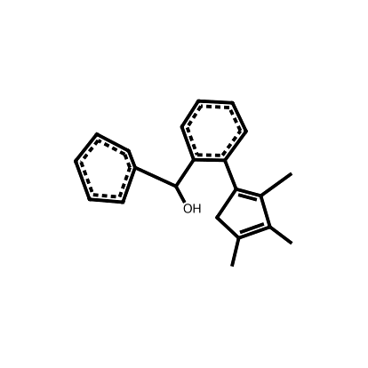 CC1=C(C)C(C)=C(c2ccccc2C(O)c2ccccc2)C1